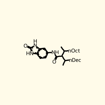 CCCCCCCCCCC(C)C(C(=O)Nc1ccc2[nH]c(=O)[nH]c2c1)C(C)CCCCCCCC